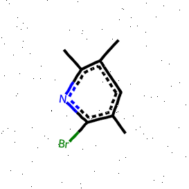 Cc1cc(C)c(Br)nc1C